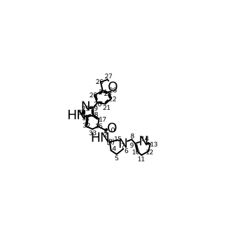 O=C(N[C@@H]1CCCN(CC2=CCCC=N2)C1)C1C=c2c(-c3ccc4c(c3)CCO4)n[nH]c2=CC1